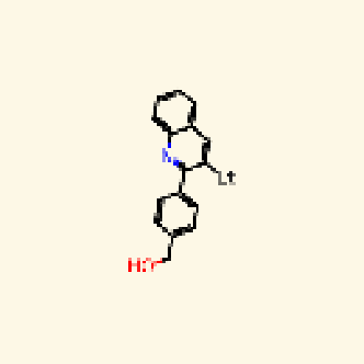 CCc1cc2ccccc2nc1-c1ccc(CO)cc1